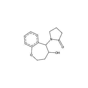 O=C1CCCN1C1c2ccccc2OCCC1O